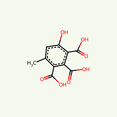 Cc1cc(O)c(C(=O)O)c(C(=O)O)c1C(=O)O